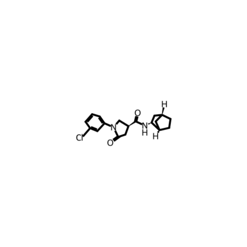 O=C(N[C@@H]1C[C@@H]2CC[C@H]1C2)[C@H]1CC(=O)N(c2cccc(Cl)c2)C1